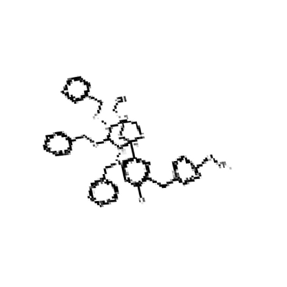 OC[C@]12CO[C@@](c3ccc(Cl)c(Cc4ccc(OC(F)(F)F)cc4)c3)(O1)[C@H](OCc1ccccc1)C(OCc1ccccc1)[C@@H]2OCc1ccccc1